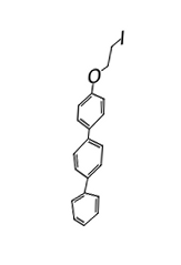 ICCOc1ccc(-c2ccc(-c3ccccc3)cc2)cc1